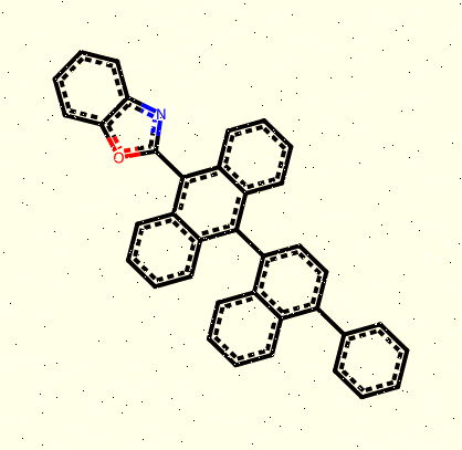 c1ccc(-c2ccc(-c3c4ccccc4c(-c4nc5ccccc5o4)c4ccccc34)c3ccccc23)cc1